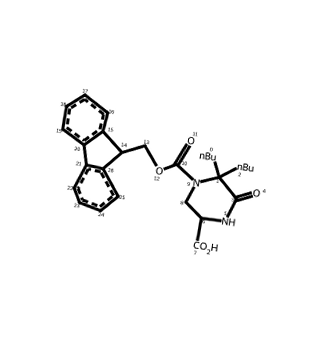 CCCCC1(CCCC)C(=O)NC(C(=O)O)CN1C(=O)OCC1c2ccccc2-c2ccccc21